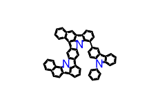 c1ccc(-n2c3ccccc3c3cc(-c4cccc5c6cc7ccccc7c7c8cc9c(cc8n(c45)c67)c4cccc5c6ccc7ccccc7c6n9c45)ccc32)cc1